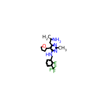 C=C(N)Cc1nc(C)nc(NCc2cccc(C(F)(F)F)c2F)c1C1CCCO1